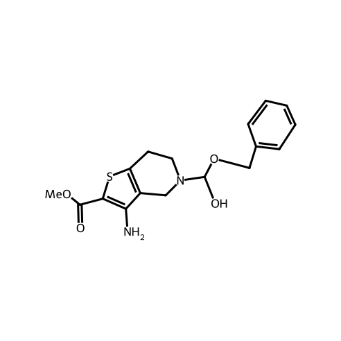 COC(=O)c1sc2c(c1N)CN(C(O)OCc1ccccc1)CC2